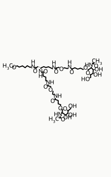 COCCCCCCNC(=O)C[C@H](CCCCNC(=O)COCCNC(=O)CCCCO[C@@H]1OC(CO)[C@H](O)[C@H](O)C1NC(C)=O)NC(=O)CCCNC(=O)COCCNC(=O)CCCO[C@@H]1OC(CO)[C@H](O)[C@H](O)C1NC(C)=O